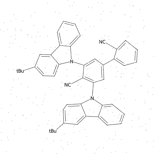 CC(C)(C)c1ccc2c(c1)c1ccccc1n2-c1cc(-c2ccccc2C#N)cc(-n2c3ccccc3c3cc(C(C)(C)C)ccc32)c1C#N